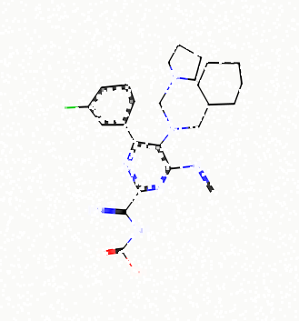 C=Nc1nc(C(=N)NC(=O)O)nc(-c2cccc(Cl)c2)c1N(CC1CCCCC1)CN1CCCC1